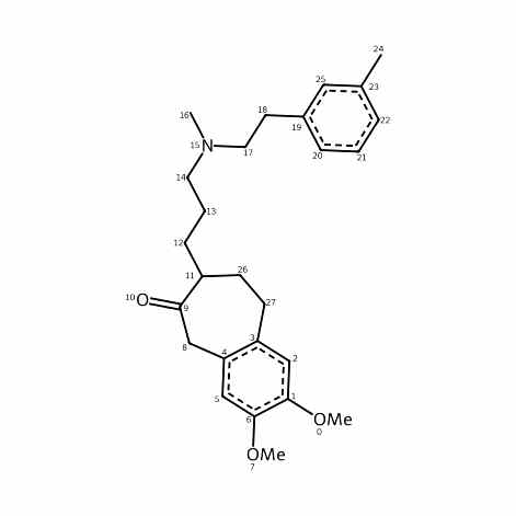 COc1cc2c(cc1OC)CC(=O)C(CCCN(C)CCc1cccc(C)c1)CC2